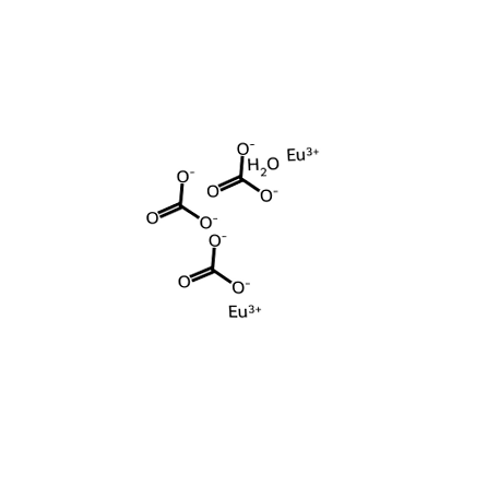 O.O=C([O-])[O-].O=C([O-])[O-].O=C([O-])[O-].[Eu+3].[Eu+3]